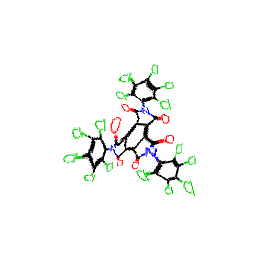 O=c1c2c3c(=O)n(-c4c(Cl)c(Cl)c(Cl)c(Cl)c4Cl)c(=O)c3c3c(=O)n(-c4c(Cl)c(Cl)c(Cl)c(Cl)c4Cl)c(=O)c3c2c(=O)n1-c1c(Cl)c(Cl)c(Cl)c(Cl)c1Cl